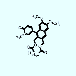 COc1cc2cc(COC(C)=O)c(COC(C)=O)c(-c3ccc(=O)n(C)c3)c2cc1OC